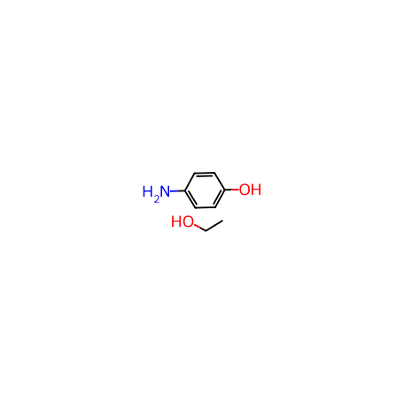 CCO.Nc1ccc(O)cc1